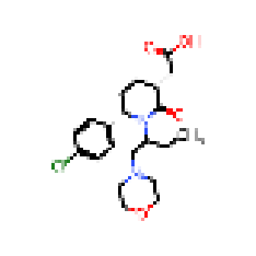 CCC(CN1CCOCC1)N1C(=O)[C@@H](CC(=O)O)CC[C@H]1c1ccc(Cl)cc1